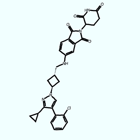 O=C1CCC(N2C(=O)c3ccc(NC[C@H]4C[C@H](n5cc(-c6ccccc6Cl)c(C6CC6)n5)C4)cc3C2=O)C(=O)N1